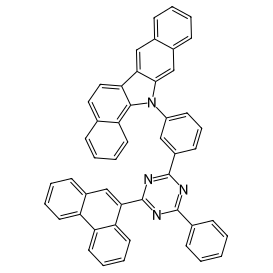 c1ccc(-c2nc(-c3cccc(-n4c5cc6ccccc6cc5c5ccc6ccccc6c54)c3)nc(-c3cc4ccccc4c4ccccc34)n2)cc1